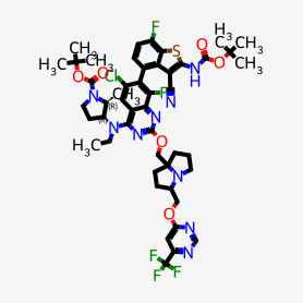 CCN(c1nc(OCC23CCCN2C(COc2cc(C(F)(F)F)ncn2)CC3)nc2c(F)c(-c3ccc(F)c4sc(NC(=O)OC(C)(C)C)c(C#N)c34)c(Cl)cc12)[C@@H]1CCN(C(=O)OC(C)(C)C)[C@@H]1C